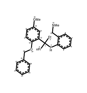 CCCC(CC)(Pc1ccccc1CNC)c1cc(OC)ccc1OCc1ccccc1